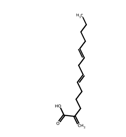 C=C(CCCC=CCC=CCCCC)C(=O)O